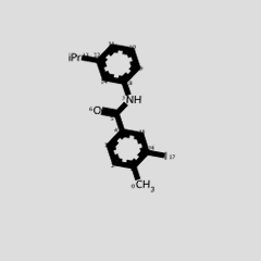 Cc1ccc(C(=O)Nc2cccc(C(C)C)c2)cc1I